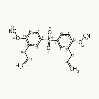 C=CCc1cc(S(=O)(=O)c2ccc(OC#N)c(CC=C)c2)ccc1OC#N